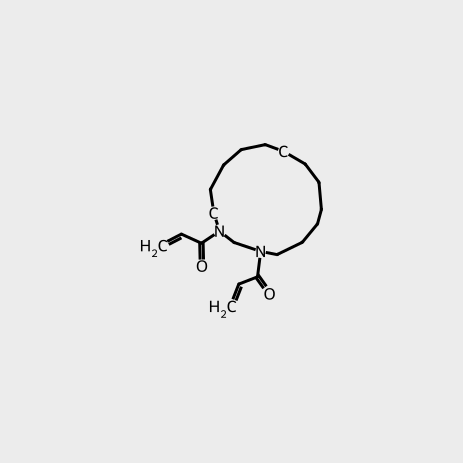 C=CC(=O)N1CCCCCCCCCCCCN(C(=O)C=C)C1